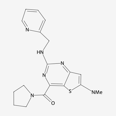 CNc1cc2nc(NCc3ccccn3)nc(C(=O)N3CCCC3)c2s1